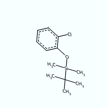 CC(C)(C)[Si](C)(C)Oc1ccc[c]c1Cl